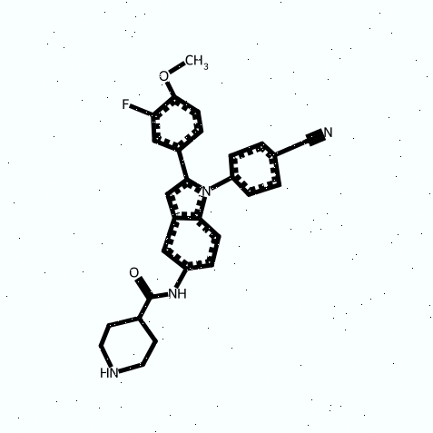 COc1ccc(-c2cc3cc(NC(=O)C4CCNCC4)ccc3n2-c2ccc(C#N)cc2)cc1F